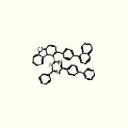 C1=CC2Oc3ccccc3C2C(c2nc(-c3ccccc3)nc(-c3ccc(-c4ccccc4)cc3)n2)=C1c1ccc(-c2cccc3ccccc23)cc1